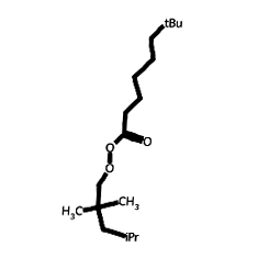 CC(C)CC(C)(C)COOC(=O)CCCCCC(C)(C)C